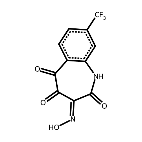 O=C1Nc2cc(C(F)(F)F)ccc2C(=O)C(=O)C1=NO